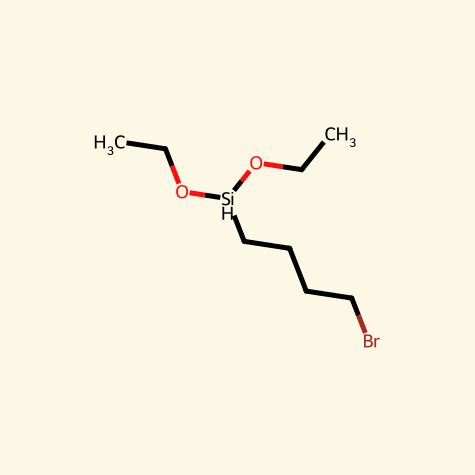 CCO[SiH](CCCCBr)OCC